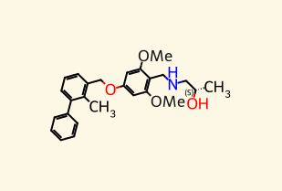 COc1cc(OCc2cccc(-c3ccccc3)c2C)cc(OC)c1CNC[C@H](C)O